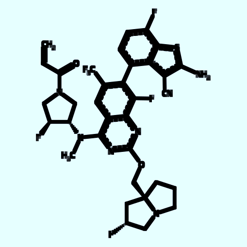 C=CC(=O)N1C[C@H](F)[C@@H](N(C)c2nc(OC[C@@]34CCCN3C[C@H](F)C4)nc3c(F)c(-c4ccc(F)c5sc(N)c(C#N)c45)c(C(F)(F)F)cc23)C1